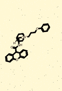 O=C(N[C@H]1C[N+]2(CCCOc3ccccc3)CCC1CC2)C1c2ccccc2Oc2ccccc21